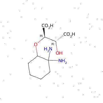 NC1(N)CCCCC1O[C@@H](C(=O)O)[C@@H](O)C(=O)O